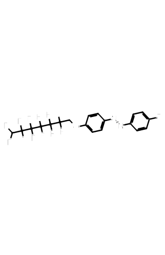 Fc1ccc(/N=N/c2ccc(OCC(F)(F)C(F)(F)C(F)(F)C(F)(F)C(F)(F)C(F)F)cc2)cc1